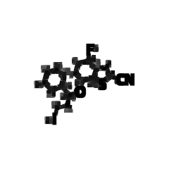 N#Cc1cc2c(F)ccc(O[C@@H](CCI)c3ccccc3)c2s1